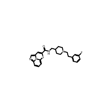 O=C(NCC1CCN(CCc2cccc(F)c2)CC1)C1=Cc2cnc3cccc(n23)S1